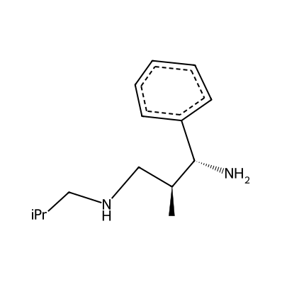 CC(C)CNC[C@H](C)[C@@H](N)c1ccccc1